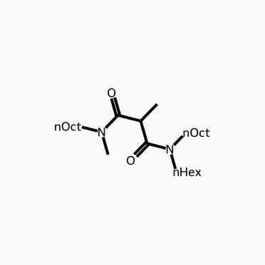 CCCCCCCCN(C)C(=O)C(C)C(=O)N(CCCCCC)CCCCCCCC